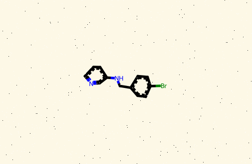 Brc1ccc(CNc2cccnc2)cc1